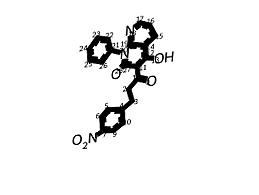 O=C(CCc1ccc([N+](=O)[O-])cc1)c1c(O)c2cccnc2n(-c2ccccc2)c1=O